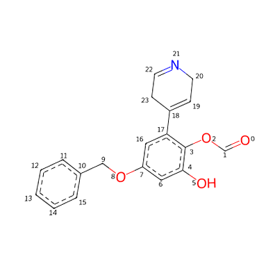 O=COc1c(O)cc(OCc2ccccc2)cc1C1=CCN=CC1